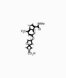 CNC(=O)c1csc2c(C(F)(F)F)cc(OC3COC4(C3)CN(C(=O)O)C4)nc12